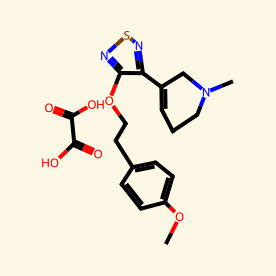 COc1ccc(CCOc2nsnc2C2=CCCN(C)C2)cc1.O=C(O)C(=O)O